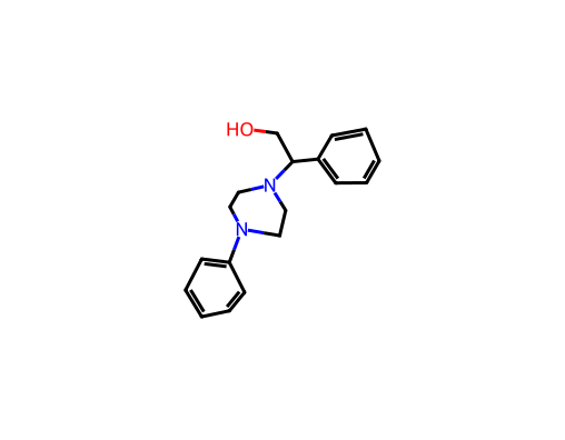 OCC(c1ccccc1)N1CCN(c2ccccc2)CC1